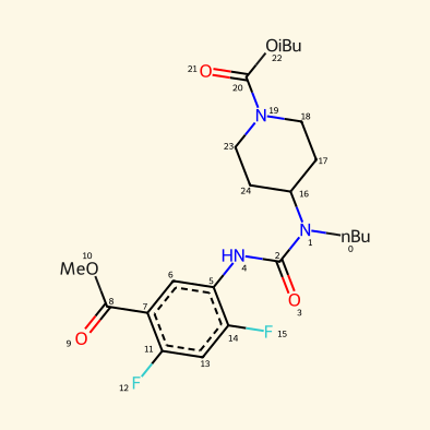 CCCCN(C(=O)Nc1cc(C(=O)OC)c(F)cc1F)C1CCN(C(=O)OCC(C)C)CC1